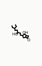 CCC(CC)CCC(O)CCC1CC2C(=O)CC2C1O